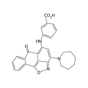 O=C(O)c1cccc(Nc2cc(N3CCCCCC3)c3noc4c3c2C(=O)c2ccccc2-4)c1